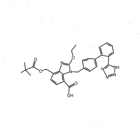 CCOc1nc2c(COC(=O)C(C)(C)C)ccc(C(=O)O)c2n1Cc1ccc(-c2ccccc2-c2nnn[nH]2)cc1